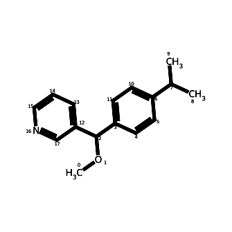 COC(c1ccc(C(C)C)cc1)c1cccnc1